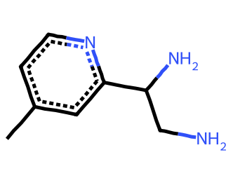 Cc1ccnc(C(N)CN)c1